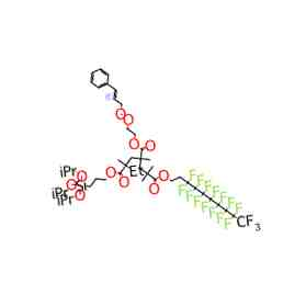 CCC(C)(CC(C)(CC(C)(C)C(=O)OCCC(F)(F)C(F)(F)C(F)(F)C(F)(F)C(F)(F)C(F)(F)C(F)(F)C(F)(F)F)C(=O)OCCOOC/C=C/c1ccccc1)C(=O)OCCC[Si](OC(C)C)(OC(C)C)OC(C)C